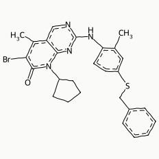 Cc1cc(SCc2ccccc2)ccc1Nc1ncc2c(C)c(Br)c(=O)n(C3CCCC3)c2n1